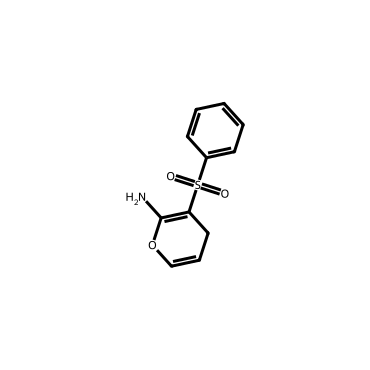 NC1=C(S(=O)(=O)c2ccccc2)CC=CO1